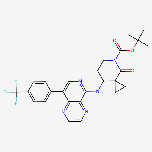 CC(C)(C)OC(=O)N1CCC(Nc2ncc(-c3ccc(C(F)(F)F)cc3)c3nccnc23)C2(CC2)C1=O